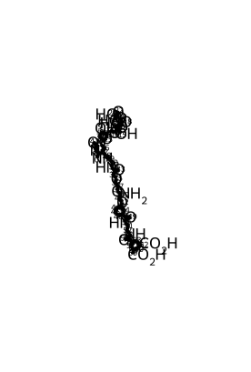 Nc1nc(=O)n([C@H]2C[C@H](O)[C@@H](COP(=O)(O)OP(=O)(O)OP(=O)(O)O)O2)cc1C#CCNC(=O)COCCOC(N)COc1cccc(C(=O)NCCNC(=O)c2cc(C(=O)O)cc(C(=O)O)c2)c1